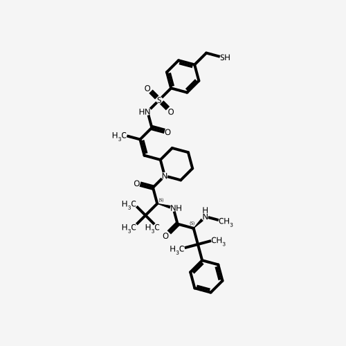 CN[C@H](C(=O)N[C@H](C(=O)N1CCCCC1C=C(C)C(=O)NS(=O)(=O)c1ccc(CS)cc1)C(C)(C)C)C(C)(C)c1ccccc1